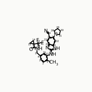 Cc1ccc(CNC(=O)C2(C(F)(F)F)CC2)cc1Nc1nc2cc(C#N)c(N3CCCC3)cc2[nH]1